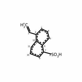 C=Cc1cccc2c(S(=O)(=O)O)cccc12